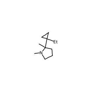 CCC1(C2(C)CCCN2C)CC1